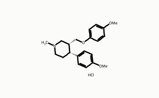 COc1ccc(OC[C@H]2CN(C)CC[C@H]2c2ccc(OC)cc2)cc1.Cl